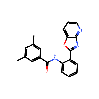 Cc1cc(C)cc(C(=O)Nc2ccccc2-c2nc3ncccc3o2)c1